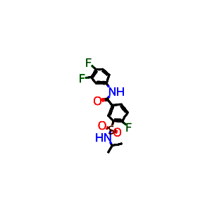 CC(C)NS(=O)(=O)c1cc(C(=O)Nc2ccc(F)c(F)c2)ccc1F